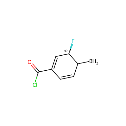 BC1C=CC(C(=O)Cl)=C[C@H]1F